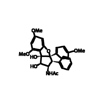 COc1ccc([C@@]23Oc4cc(OC)cc(OC)c4[C@]2(O)[C@H](O)[C@H](NC(C)=O)[C@H]3c2ccccc2)cc1